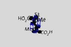 CC[C@H]1CC[C@H]2CN(Cc3c(OC)cc(CCc4cc(OC)c(CN5C[C@H]6CCCCN6C[C@H]5c5ccc(C(=O)O)cc5)c5cc[nH]c45)c4[nH]ccc34)[C@@H](c3ccc(C(=O)O)cc3)CN12